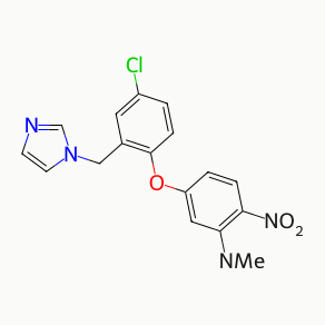 CNc1cc(Oc2ccc(Cl)cc2Cn2ccnc2)ccc1[N+](=O)[O-]